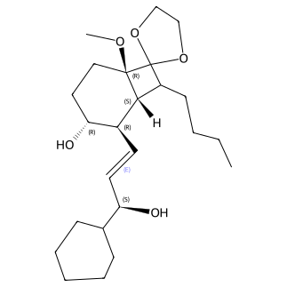 CCCCC1[C@@H]2[C@@H](/C=C/[C@@H](O)C3CCCCC3)[C@H](O)CC[C@]2(OC)C12OCCO2